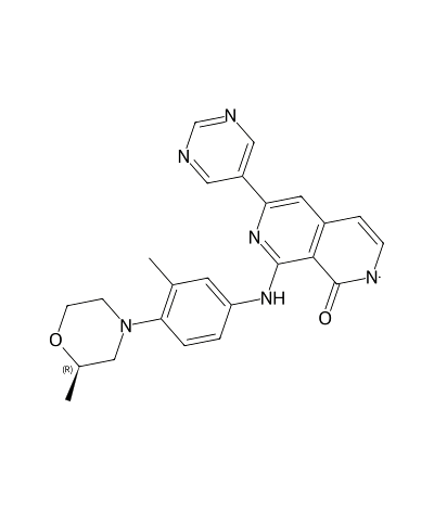 Cc1cc(Nc2nc(-c3cncnc3)cc3c2C(=O)[N]C=C3)ccc1N1CCO[C@H](C)C1